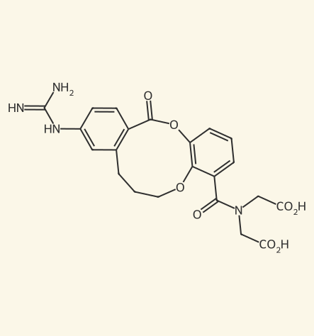 N=C(N)Nc1ccc2c(c1)CCCOc1c(cccc1C(=O)N(CC(=O)O)CC(=O)O)OC2=O